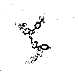 CCNC(=O)Oc1sc2cc(F)ccc2c1C1CCN(CCCn2nc(-c3ccc(C(F)(F)F)cc3)c3c2CCN(S(C)(=O)=O)C3)CC1